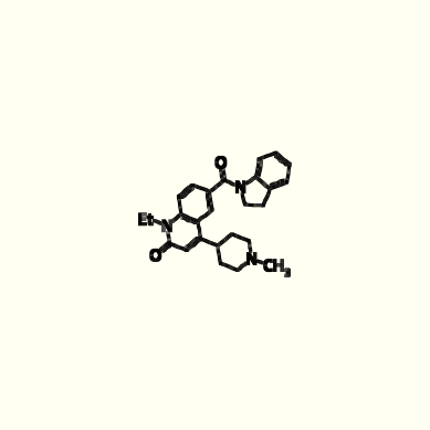 CCn1c(=O)cc(C2CCN(C)CC2)c2cc(C(=O)N3CCc4ccccc43)ccc21